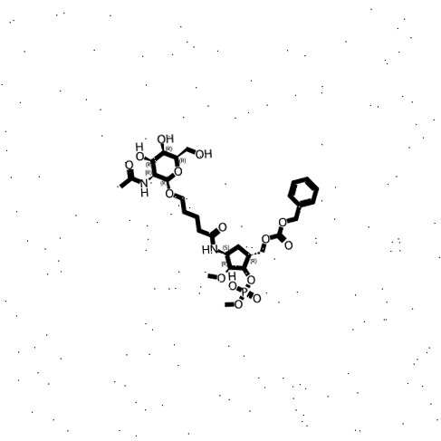 CO[C@H]1C(OP(=O)(O)OC)[C@@H](COC(=O)OCc2ccccc2)C[C@@H]1NC(=O)CCCCO[C@@H]1O[C@H](CO)[C@H](O)[C@H](O)[C@H]1NC(C)=O